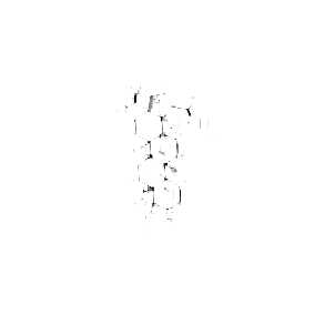 C=C(C)C1CC[C@]2(C(=O)O)CCC3(C)[C@H](CC[C@@H]4[C@@]5(C)CC[C@H](O)C(C)(C)[C@@H]5CC[C@]43C)[C@@H]12